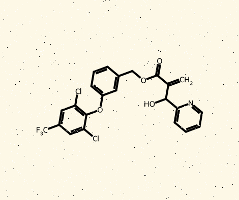 C=C(C(=O)OCc1cccc(Oc2c(Cl)cc(C(F)(F)F)cc2Cl)c1)C(O)c1ccccn1